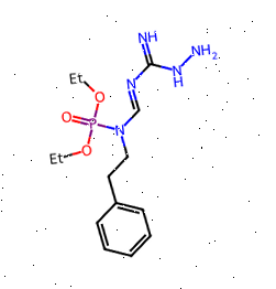 CCOP(=O)(OCC)N(C=NC(=N)NN)CCc1ccccc1